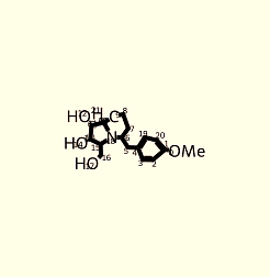 COc1ccc(CC2CCC[C@@H]3[C@H](O)[C@@H](O)C(CO)N23)cc1